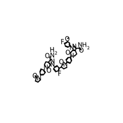 COc1cc(-n2nc(C(N)=O)c3c2C(=O)N(c2ccc(N4CCC(c5cc(-n6nc(C(N)=O)c7c6C(=O)N(c6ccc(N8CCCC8=O)cc6)CC7)ccc5F)C4=O)cc2)CC3)ccc1F